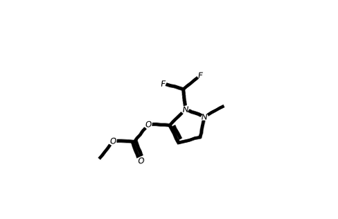 COC(=O)OC1=CCN(C)N1C(F)F